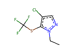 CCn1n[c]c(Cl)c1SC(F)(F)F